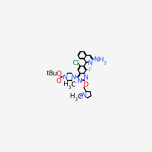 C[C@H]1CN(C(=O)OC(C)(C)C)CCN1c1nc(OCC2CCCN2C)nc2c(F)c(-c3nc(N)cc4ccccc34)c(Cl)cc12